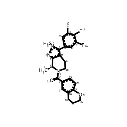 C[C@H]1c2nn(C)c(-c3cc(F)c(F)c(F)c3)c2CCN1C(=O)c1ccc2c(c1)CCCO2